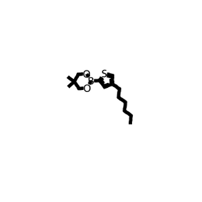 CCCCCCc1csc(B2OCC(C)(C)CO2)c1